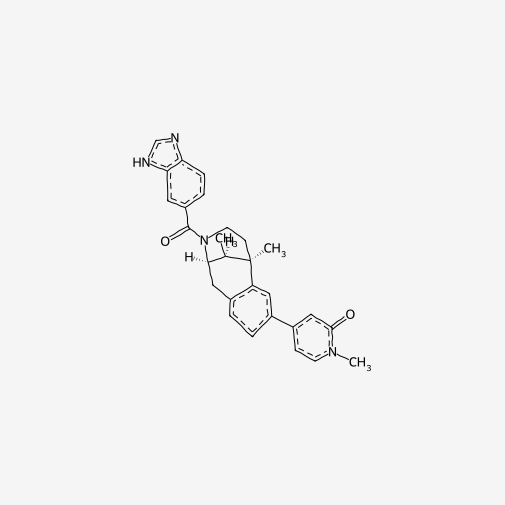 C[C@@H]1[C@H]2Cc3ccc(-c4ccn(C)c(=O)c4)cc3[C@]1(C)CCN2C(=O)c1ccc2nc[nH]c2c1